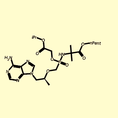 CCCCCOC(=O)C(C)(C)NP(=O)(CO[C@@H](C)Cn1cnc2c(N)ncnc21)OCC(=O)OC(C)C